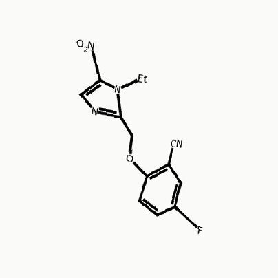 CCn1c([N+](=O)[O-])cnc1COc1ccc(F)cc1C#N